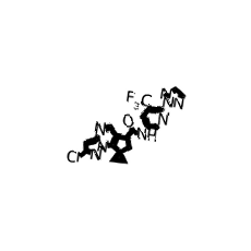 O=C(Nc1cnc(-n2nccn2)c(C(F)(F)F)c1)C1CC2(CC2)c2c1cnc1cc(Cl)nn21